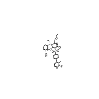 CCOCc1nc(=O)c(S(=O)(=O)c2ccc(-c3ccnc(F)c3C)cc2)c(O)n1[C@@H](CC)c1cccc(C#N)c1